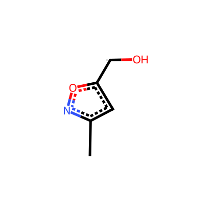 Cc1cc([CH]O)on1